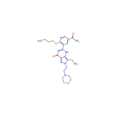 CCCCOc1ncc(C(C)=O)cc1-c1nc(=O)c2nn(CCN3CCOCC3)c(CC)c2[nH]1